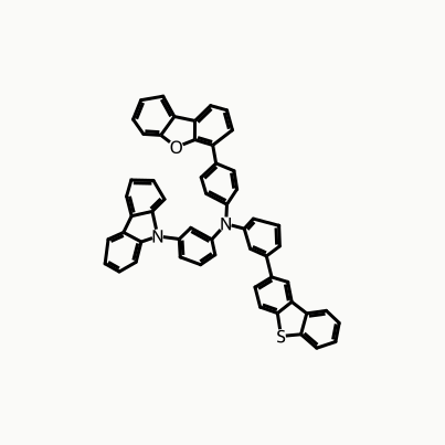 c1cc(-c2ccc3sc4ccccc4c3c2)cc(N(c2ccc(-c3cccc4c3oc3ccccc34)cc2)c2cccc(-n3c4ccccc4c4ccccc43)c2)c1